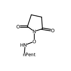 CCCCCNON1C(=O)CCC1=O